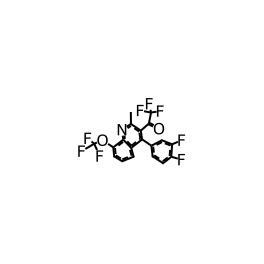 Cc1nc2c(OC(F)(F)F)cccc2c(-c2ccc(F)c(F)c2)c1C(=O)C(F)(F)F